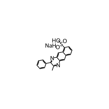 Cc1nc2cc3cccc(S(=O)(=O)O)c3cc2nc1-c1ccccc1.[NaH]